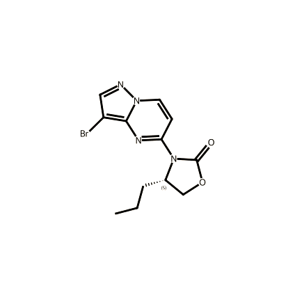 CCC[C@H]1COC(=O)N1c1ccn2ncc(Br)c2n1